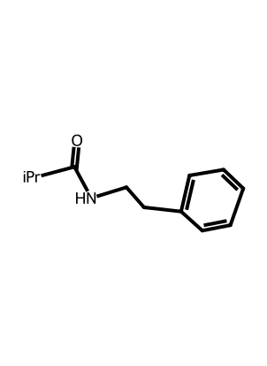 CC(C)C(=O)NCCc1ccccc1